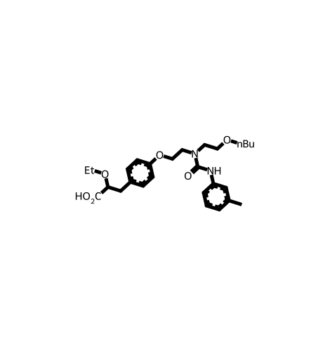 CCCCOCCN(CCOc1ccc(CC(OCC)C(=O)O)cc1)C(=O)Nc1cccc(C)c1